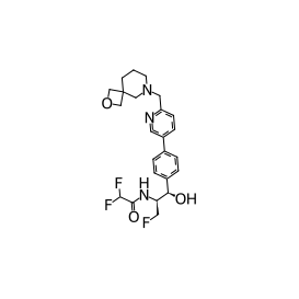 O=C(N[C@H](CF)[C@H](O)c1ccc(-c2ccc(CN3CCCC4(COC4)C3)nc2)cc1)C(F)F